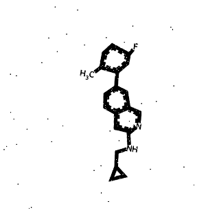 Cc1ccc(F)cc1-c1ccc2cc(NCC3CC3)ncc2c1